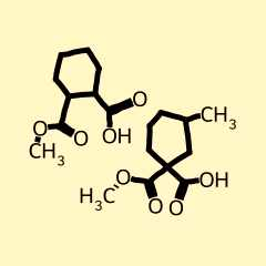 COC(=O)C1(C(=O)O)CCCC(C)C1.COC(=O)C1CCCCC1C(=O)O